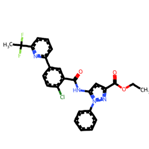 CCOC(=O)c1cc(NC(=O)c2cc(-c3cccc(C(C)(F)F)n3)ccc2Cl)n(-c2ccccc2)n1